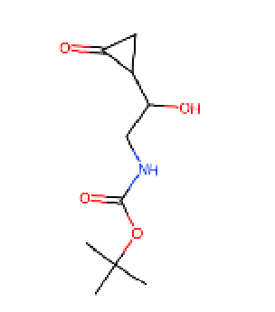 CC(C)(C)OC(=O)NCC(O)C1CC1=O